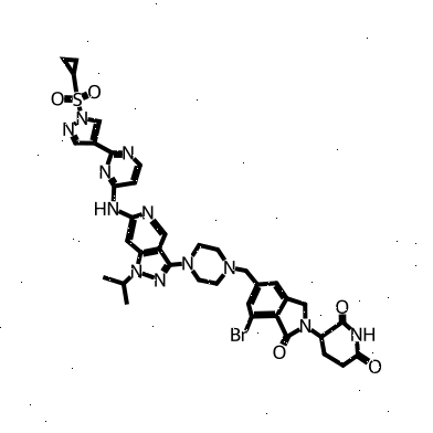 CC(C)n1nc(N2CCN(Cc3cc(Br)c4c(c3)CN(C3CCC(=O)NC3=O)C4=O)CC2)c2cnc(Nc3ccnc(-c4cnn(S(=O)(=O)C5CC5)c4)n3)cc21